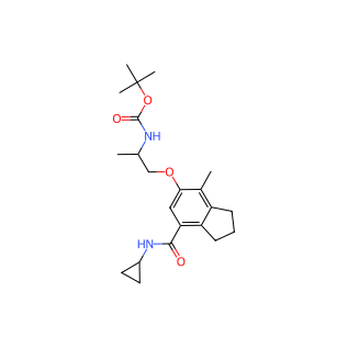 Cc1c(OCC(C)NC(=O)OC(C)(C)C)cc(C(=O)NC2CC2)c2c1CCC2